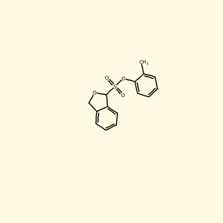 Cc1ccccc1OS(=O)(=O)C1OCc2ccccc21